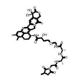 CC[C@@]1(O)C(=O)OCc2c1cc1n(c2=O)Cc2c-1nc1cc(F)c(C)c3c1c2[C@@H](NC(=O)[C@H](O)CCOCNC(=O)[C@H](C)NC(=O)[C@H](C)NC(=O)CN1C(=O)CC(C)C1=O)CC3